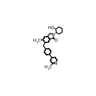 Cc1cc(-c2ccc(Cc3cc4c(cc3C)CN([C@H]3CCCC[C@@H]3O)C4=O)cc2)ccn1